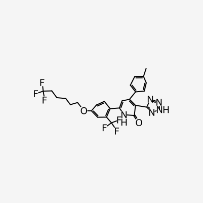 Cc1ccc(-c2cc(-c3ccc(OCCCCCC(F)(F)F)cc3C(F)(F)F)[nH]c(=O)c2-c2nn[nH]n2)cc1